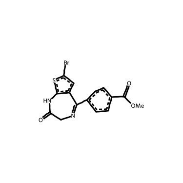 COC(=O)c1ccc(C2=NCC(=O)Nc3sc(Br)cc32)cc1